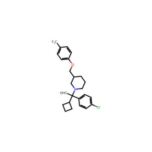 O=CC(c1ccc(Cl)cc1)(C1CCC1)N1CCCC(COc2ccc(C(F)(F)F)cc2)C1